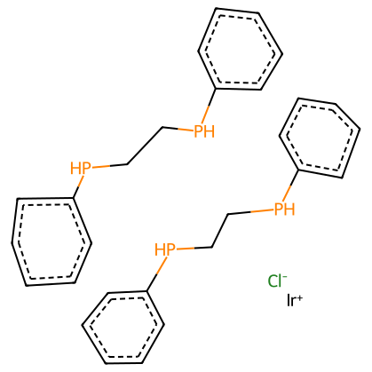 [Cl-].[Ir+].c1ccc(PCCPc2ccccc2)cc1.c1ccc(PCCPc2ccccc2)cc1